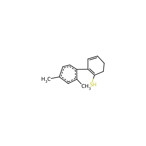 Cc1ccc(C2=C(S)CCC=C2)c(C)c1